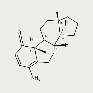 C[C@@]12CCC[C@H]1[C@@H]1CCC3=C(N)C=CC(=O)[C@]3(C)[C@H]1CC2